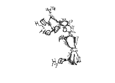 COc1cc(-c2ccc(C3CCc4ccc(C(C5CC5)C(C)C(=O)O)cc4O3)c(F)c2)ccn1